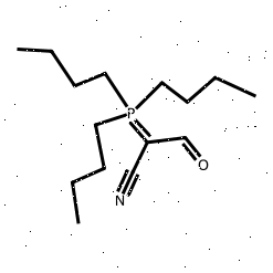 CCCCP(CCCC)(CCCC)=C(C#N)C=O